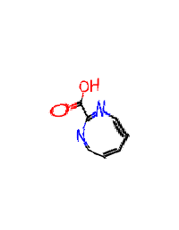 O=C(O)C1=NC=CC=CC=N1